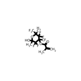 C=C(C)C(=O)OC1(C(F)(F)F)C(F)(F)C(C)(O)OC(C)(C(F)(F)F)C1(F)F